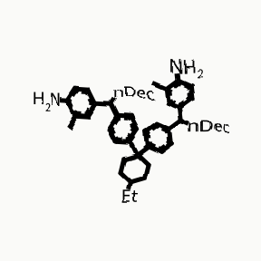 CCCCCCCCCCC(c1ccc(C2(c3ccc(C(CCCCCCCCCC)c4ccc(N)c(C)c4)cc3)CCC(CC)CC2)cc1)c1ccc(N)c(C)c1